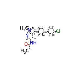 C=CC(=O)Nc1cnc2c(c1)c(-c1ccc(-c3ccc(Cl)cc3)cc1)cn2C